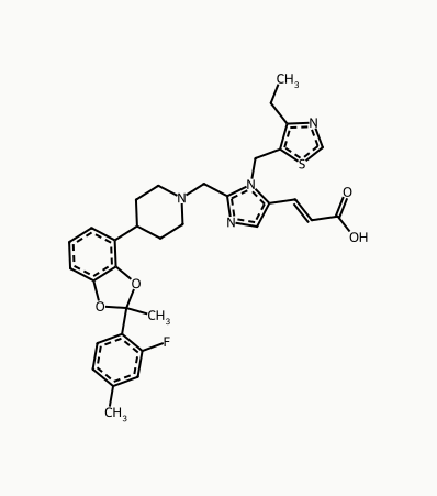 CCc1ncsc1Cn1c(/C=C/C(=O)O)cnc1CN1CCC(c2cccc3c2OC(C)(c2ccc(C)cc2F)O3)CC1